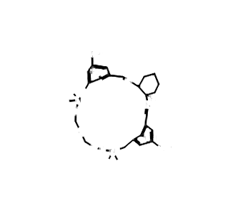 CC(C)(C)c1cc2c(O)c(c1)C[N+](C)(C)CCCCCC[N+](C)(C)Cc1cc(C(C)(C)C)cc(c1O)/C=N/[C@@H]1CCCCC1/N=C/2